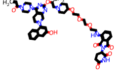 C=CC(=O)N1CCN(c2nc(O[C@H](C)CN3CCC(OCCOCCOCCNc4cccc5c4C(=O)N(C4CCC(=O)NC4=O)C5=O)CC3)nc3c2CCN(c2cc(O)cc4ccccc24)C3)CC1